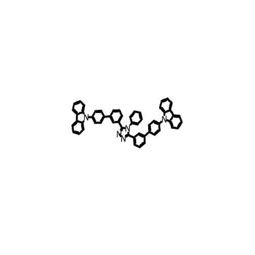 c1ccc(-n2c(-c3cccc(-c4ccc(-n5c6ccccc6c6ccccc65)cc4)c3)nnc2-c2cccc(-c3ccc(-n4c5ccccc5c5ccccc54)cc3)c2)cc1